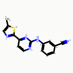 Cc1cnc(-c2ccnc(Nc3cccc(C#N)c3)n2)s1